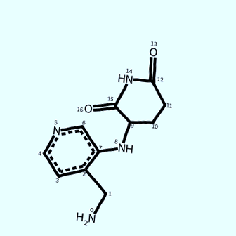 NCc1ccncc1NC1CCC(=O)NC1=O